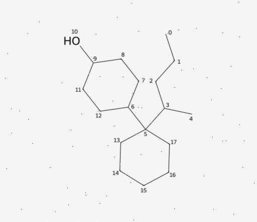 CCCC(C)C1(C2CCC(O)CC2)CCCCC1